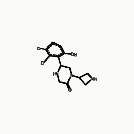 O=C1CNC(c2c(O)ccc(Cl)c2Cl)CN1C1CNC1